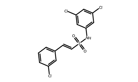 O=S(=O)(/C=C/c1cccc(Cl)c1)Nc1cc(Cl)cc(Cl)c1